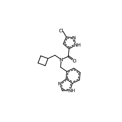 O=C(c1cc(Cl)n[nH]1)N(Cc1cccc2[nH]cnc12)CC1CCC1